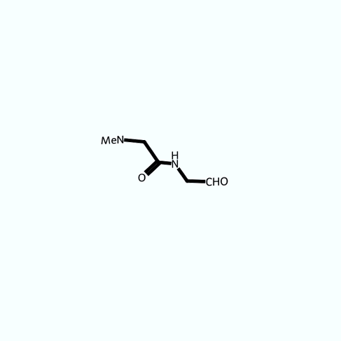 CNCC(=O)NCC=O